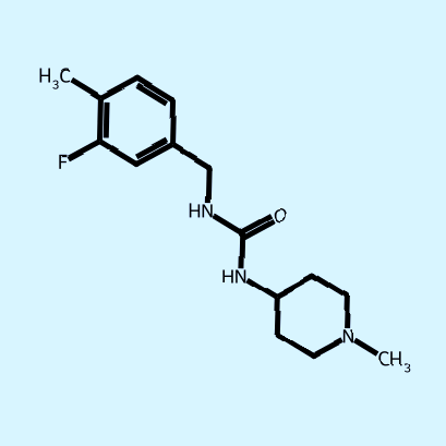 Cc1ccc(CNC(=O)NC2CCN(C)CC2)cc1F